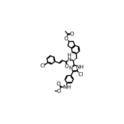 COC(=O)Nc1ccc(-c2nc([C@H](Cc3ccc4c(c3)CC(OC(C)=O)C4)NC(=O)C=Cc3cccc(Cl)c3)[nH]c2Cl)cc1